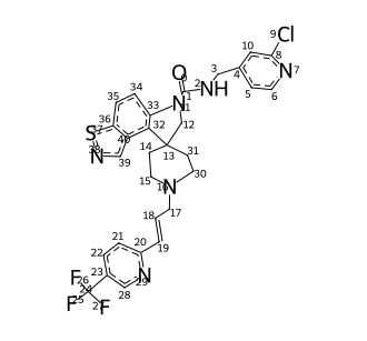 O=C(NCc1ccnc(Cl)c1)N1CC2(CCN(CC=Cc3ccc(C(F)(F)F)cn3)CC2)c2c1ccc1sncc21